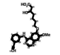 C#Cc1cccc(Nc2ncnc3cc(OC)c(OCCCCC(O)CC(=O)O)cc23)c1